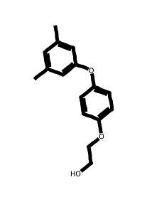 Cc1cc(C)cc(Oc2ccc(OCCO)cc2)c1